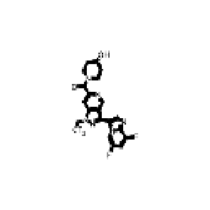 O=C(c1cc2c(cn1)c(-c1cnc3c(F)cc(F)cn13)nn2CC(F)(F)F)N1CCC(O)CC1